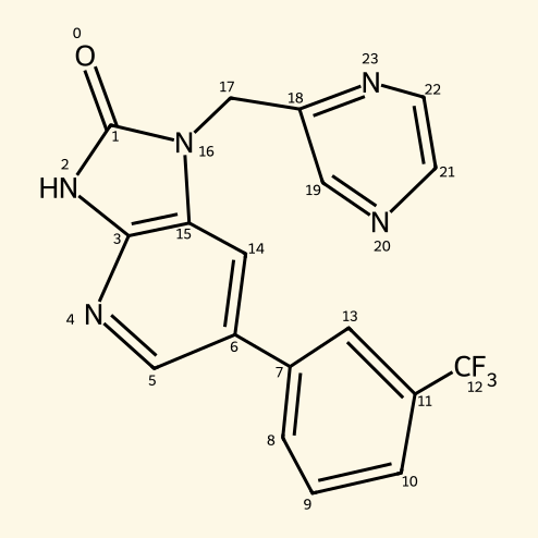 O=c1[nH]c2ncc(-c3cccc(C(F)(F)F)c3)cc2n1Cc1cnccn1